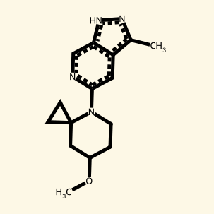 COC1CCN(c2cc3c(C)n[nH]c3cn2)C2(CC2)C1